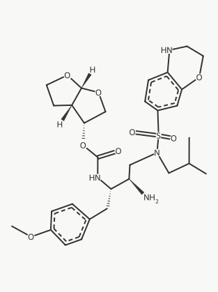 COc1ccc(C[C@H](NC(=O)O[C@H]2CO[C@H]3OCC[C@H]32)[C@H](N)CN(CC(C)C)S(=O)(=O)c2ccc3c(c2)OCCN3)cc1